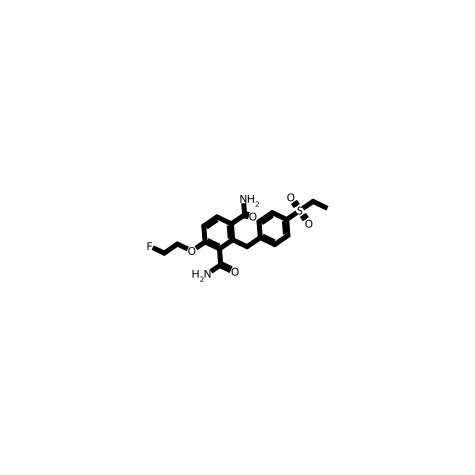 CCS(=O)(=O)c1ccc(Cc2c(C(N)=O)ccc(OCCF)c2C(N)=O)cc1